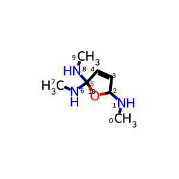 CNC1C=CC(NC)(NC)O1